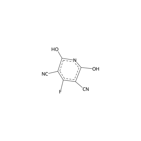 N#Cc1c(O)nc(O)c(C#N)c1F